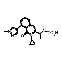 CC(NC(=O)O)c1cc2cccc(-c3cnn(C)c3)c2c(=O)n1C1CC1